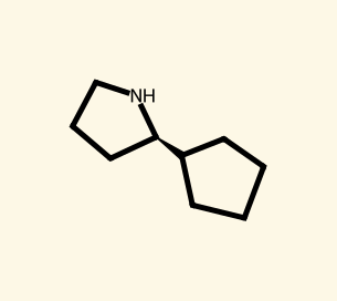 C1CCC([C@H]2CCCN2)C1